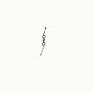 CCCCCCCCc1ccc(/N=N/c2ccc(OCCCC(=O)O)cc2)cc1